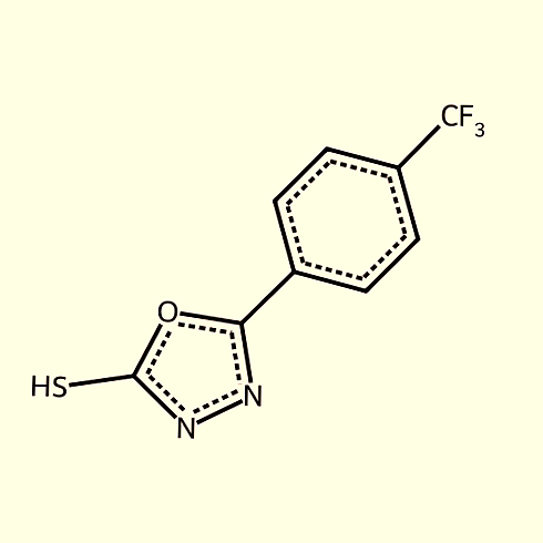 FC(F)(F)c1ccc(-c2nnc(S)o2)cc1